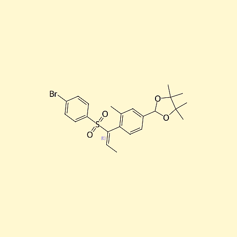 C/C=C(\c1ccc(C2OC(C)(C)C(C)(C)O2)cc1C)S(=O)(=O)c1ccc(Br)cc1